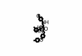 COc1ccc(NCCNC(=O)C(Cc2ccc(Oc3ccc(C)cc3)cc2)NC(=O)c2cccc(C)c2)cc1